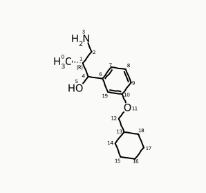 C[C@H](CN)C(O)c1cccc(OCC2CCCCC2)c1